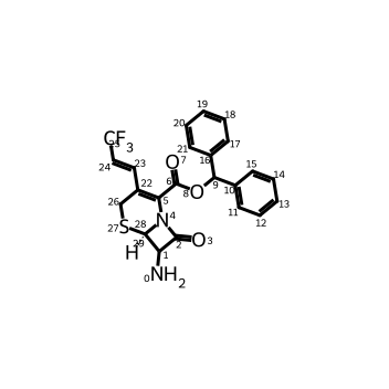 NC1C(=O)N2C(C(=O)OC(c3ccccc3)c3ccccc3)=C(/C=C/C(F)(F)F)CS[C@H]12